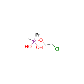 CC(C)P(C)(O)(O)OCCCl